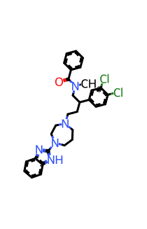 CN(CC(CCN1CCCN(c2nc3ccccc3[nH]2)CC1)c1ccc(Cl)c(Cl)c1)C(=O)c1ccccc1